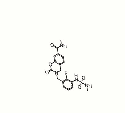 CNC(=O)c1ccc2c(c1)OC(=O)N(Cc1cccc(NS(=O)(=O)NC)c1F)C2